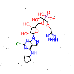 O=P(O)(O)C(CO)(COCc1nn[nH]n1)OCC1O[C@@H](n2ncc3c(NC4CCCC4)nc(Cl)nc32)[C@H](O)[C@@H]1O